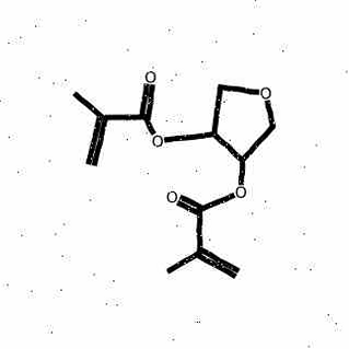 C=C(C)C(=O)OC1COCC1OC(=O)C(=C)C